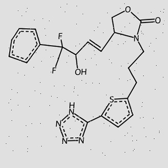 O=C1OCC(C=CC(O)C(F)(F)c2ccccc2)N1CCCc1ccc(-c2nnn[nH]2)s1